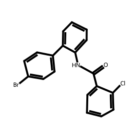 O=C(Nc1ccccc1-c1ccc(Br)cc1)c1ccccc1Cl